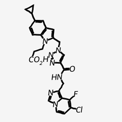 O=C(O)CCn1c(Cn2cc(C(=O)NCc3ncn4ccc(Cl)c(F)c34)nn2)cc2cc(C3CC3)ccc21